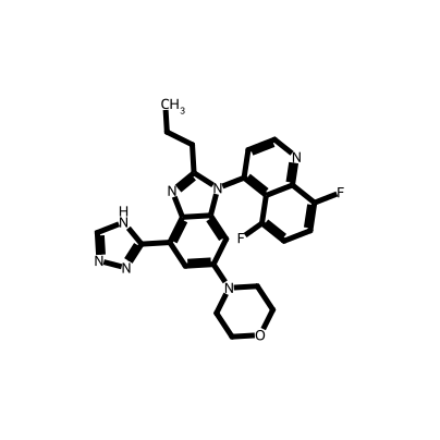 CCCc1nc2c(-c3nnc[nH]3)cc(N3CCOCC3)cc2n1-c1ccnc2c(F)ccc(F)c12